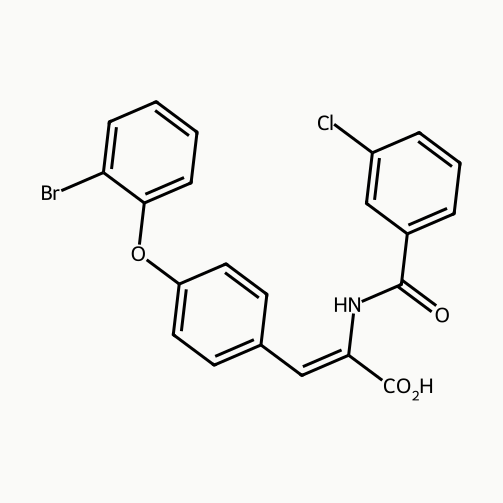 O=C(O)/C(=C/c1ccc(Oc2ccccc2Br)cc1)NC(=O)c1cccc(Cl)c1